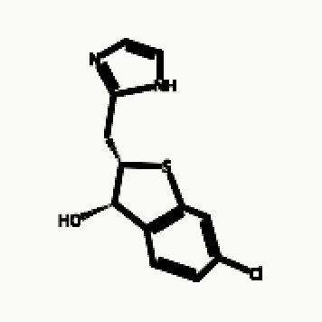 O[C@H]1c2ccc(Cl)cc2S[C@H]1Cc1ncc[nH]1